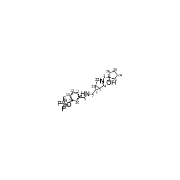 OC1(CN2CC3C(CNCc4cccc(OC(F)(F)F)c4)C3C2)CCCC1